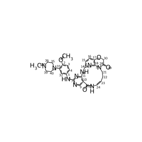 COc1ccc(Nc2ncc3c(n2)Nc2ccc4c(n2)N(CC/C=C\NC3=O)C(=O)CO4)cc1N1CCN(C)CC1